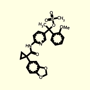 COc1ccccc1C(C)(OS(C)(=O)=O)c1ccc(NC(=O)C2(c3ccc4c(c3)OCO4)CC2)nc1